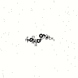 COC(=O)Oc1cc2cccc(Oc3ccc(Nc4nc5cc(C(F)(F)F)cc(Cl)c5[nH]4)cc3)c2o1